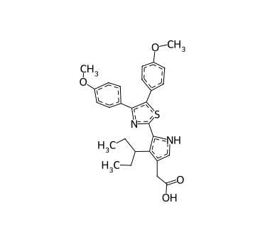 CCC(CC)c1c(CC(=O)O)c[nH]c1-c1nc(-c2ccc(OC)cc2)c(-c2ccc(OC)cc2)s1